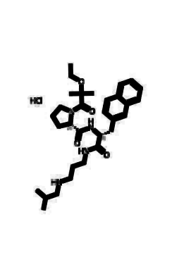 CCOC(C)(C)C(=O)N1CCC[C@H]1C(=O)N[C@H](Cc1ccc2ccccc2c1)C(=O)NCCCNCC(C)C.Cl